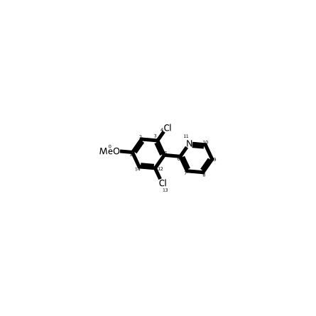 COc1cc(Cl)c(-c2ccccn2)c(Cl)c1